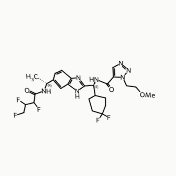 COCCn1nncc1C(=O)N[C@H](c1nc2ccc([C@@H](C)NC(=O)C(F)C(F)CF)cc2[nH]1)C1CCC(F)(F)CC1